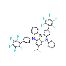 CC(C)c1cc2c3c(c1)N(c1ccccc1)c1ccc(-c4c(F)c(F)c(F)c(F)c4F)cc1B3c1ccccc1N2c1ccc(-c2c(F)c(F)c(F)c(F)c2F)cc1